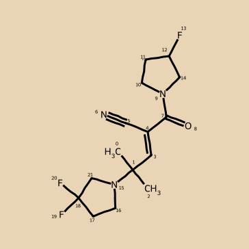 CC(C)(C=C(C#N)C(=O)N1C[CH]C(F)C1)N1CCC(F)(F)C1